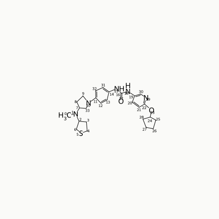 CN(C1CCSC1)C1CCN(c2ccc(NC(=O)Nc3ccc(OC4CCCC4)nc3)cc2)C1